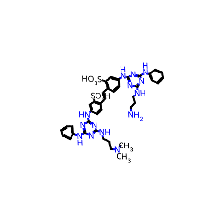 CN(C)CCCNc1nc(Nc2ccccc2)nc(Nc2ccc(/C=C/c3ccc(Nc4nc(NCCCN)nc(Nc5ccccc5)n4)cc3S(=O)(=O)O)c(S(=O)(=O)O)c2)n1